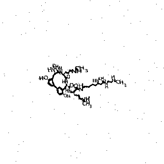 CNCCC[C@H](NC(=O)[C@@H]1Cc2cc(ccc2O)-c2ccc(O)c(c2)C[C@H](NC)C(=O)N[C@@H](CCCNC)C(=O)N1)C(=O)NCCCCC(CC(=O)NCCNC)NC